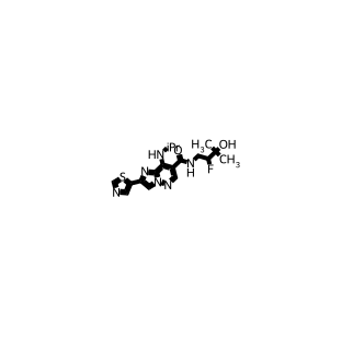 CC(C)Nc1c(C(=O)NCC(F)C(C)(C)O)cnn2cc(-c3cncs3)nc12